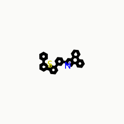 C1=CC2c3ccccc3-c3cnc(-c4cccc(-c5cccc6c5sc5c(-c7ccccc7)cccc56)c4)cc3C2C=C1